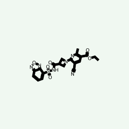 CCOC(=O)c1cc(C#N)c(N2CC(C(=O)NS(=O)(=O)c3cccc4nonc34)C2)nc1C